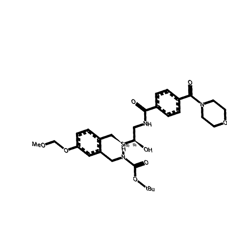 COCOc1ccc2c(c1)CN(C(=O)OC(C)(C)C)[Si@H]([C@H](O)CNC(=O)c1ccc(C(=O)N3CCOCC3)cc1)C2